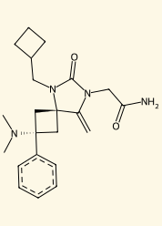 C=C1N(CC(N)=O)C(=O)N(CC2CCC2)[C@]12C[C@@](c1ccccc1)(N(C)C)C2